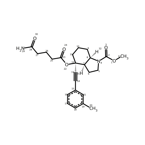 COC(=O)N1CC[C@@H]2[C@H]1CCC[C@]2(C#Cc1cccc(C)c1)OC(=O)CCCC(N)=O